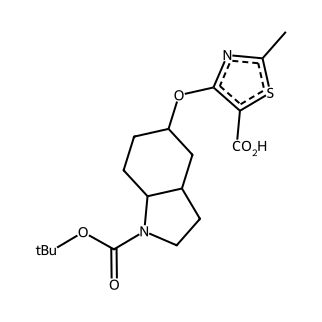 Cc1nc(OC2CCC3C(CCN3C(=O)OC(C)(C)C)C2)c(C(=O)O)s1